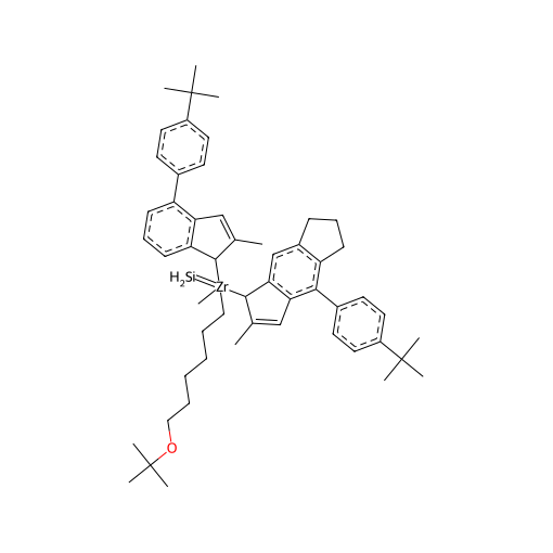 CC1=Cc2c(-c3ccc(C(C)(C)C)cc3)cccc2[CH]1[Zr]([CH3])(=[SiH2])([CH2]CCCCCOC(C)(C)C)[CH]1C(C)=Cc2c1cc1c(c2-c2ccc(C(C)(C)C)cc2)CCC1